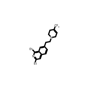 CCc1cc2ccc(CCN3CC=C(C(F)(F)F)CC3)cc2c(CC)n1